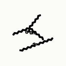 CCCCCCCCC(CCCCCCCC)(CCCCCCCC)C(=O)O.CCCCCCC[CH2][Sn][CH2]CCCCCCC